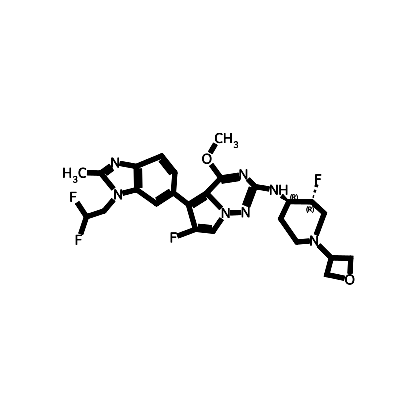 COc1nc(N[C@@H]2CCN(C3COC3)C[C@H]2F)nn2cc(F)c(-c3ccc4nc(C)n(CC(F)F)c4c3)c12